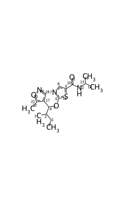 CCC(C)C(Oc1ncc(C(=O)NC(C)C)s1)c1cnoc1C